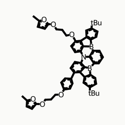 Cc1ccc(OCCCOc2ccc(-c3ccc4c5c3-c3cc(C(C)(C)C)ccc3B5c3cccc5c3N4c3ccc(OCCCOc4ccc(C)o4)c4c3B5c3ccc(C(C)(C)C)cc3-4)cc2)o1